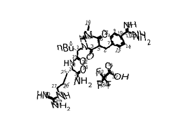 CCCC[C@H](NC(=O)C(Cc1ccc(C(=N)N)cc1)C(=O)N(C)C)C(=O)N[C@@H](CCCNC(=N)N)C(N)=O.O=C(O)C(F)(F)F